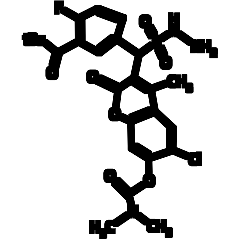 Cc1c(C(c2ccc(F)c(C(=O)C(C)(C)C)c2)S(=O)(=O)NN)c(=O)oc2cc(OC(=O)N(C)C)c(Cl)cc12